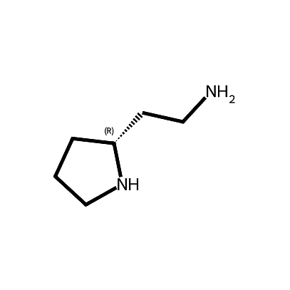 NCC[C@H]1CCCN1